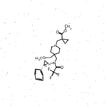 COCC1(CN(C(=O)C(F)(F)F)[C@@H]2C[C@H]2c2ccccc2)CCN(CC2(C(=O)OC)CC2)CC1